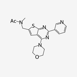 CC(=O)N(C)Cc1cc2c(N3CCOCC3)nc(-c3cccnc3)nc2s1